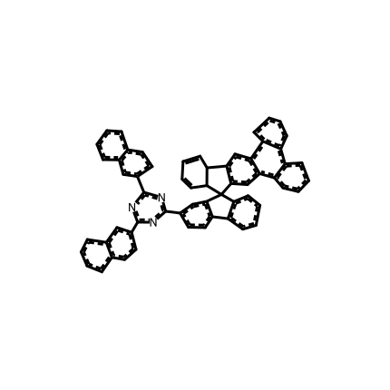 C1=CC2c3cc4c5ccccc5c5ccccc5c4cc3C3(c4ccccc4-c4ccc(-c5nc(-c6ccc7ccccc7c6)nc(-c6ccc7ccccc7c6)n5)cc43)C2C=C1